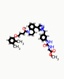 COC(=O)CNC(=O)Nc1cccc(Cn2cc(-c3cccc4c3CCCN4C(=O)CCCOc3cccc(C)c3C)cn2)c1